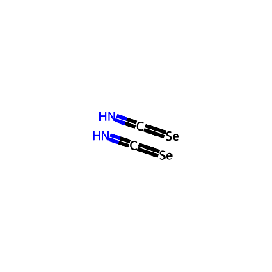 N=C=[Se].N=C=[Se]